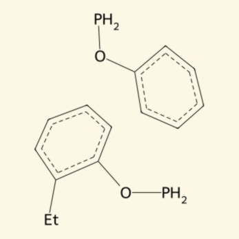 CCc1ccccc1OP.POc1ccccc1